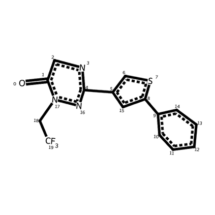 O=c1cnc(-c2csc(-c3ccccc3)c2)nn1CC(F)(F)F